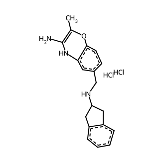 CC1=C(N)Nc2cc(CNC3Cc4ccccc4C3)ccc2O1.Cl.Cl